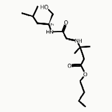 CCCCOC(=O)CC(C)(C)NCC(=O)N[C@H](CO)CC(C)C